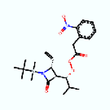 C=C[C@@H]1[C@@H]([C@H](OOC(=O)Cc2ccccc2[N+](=O)[O-])C(C)C)C(=O)N1[Si](C)(C)C(C)(C)C